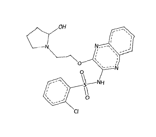 O=S(=O)(Nc1nc2ccccc2nc1OCCN1CCCC1O)c1ccccc1Cl